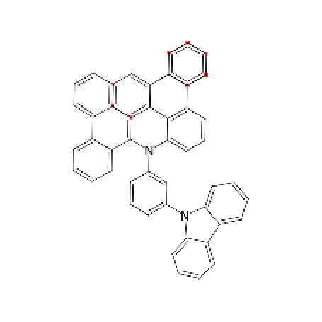 c1ccc(-c2ccccc2-c2c(-c3ccccc3)cccc2N(c2cccc(-n3c4ccccc4c4ccccc43)c2)c2cc3ccccc3c3ccccc23)cc1